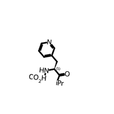 CC(C)C(=O)[C@H](Cc1cccnc1)NC(=O)O